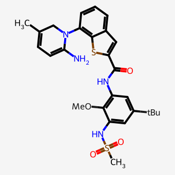 COc1c(NC(=O)c2cc3cccc(N4CC(C)=CC=C4N)c3s2)cc(C(C)(C)C)cc1NS(C)(=O)=O